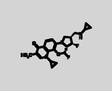 O=C(O)c1cn(C2CC2)c2c(OC(F)F)c(N3C[C@H](CNC4CC4)[C@H](F)C3)ccc2c1=O